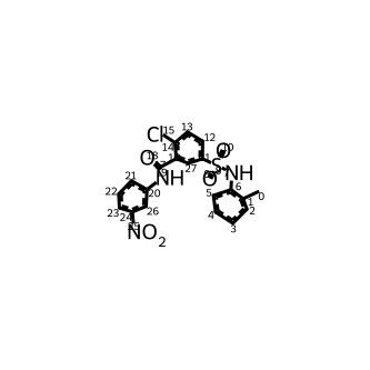 Cc1ccccc1NS(=O)(=O)c1ccc(Cl)c(C(=O)Nc2cccc([N+](=O)[O-])c2)c1